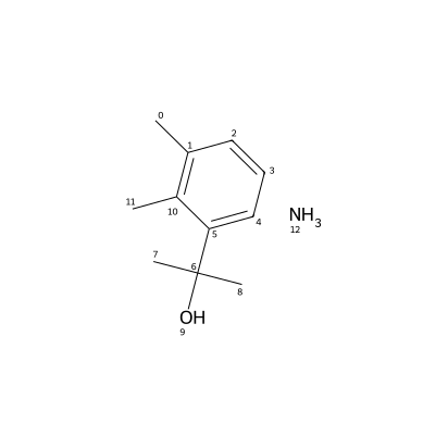 Cc1cccc(C(C)(C)O)c1C.N